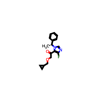 C[C@H](c1ccccc1)n1cnc(F)c1C(=O)COCC1CC1